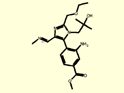 CCOCc1nc(/C=N/C)c(-c2ccc(C(=O)OC)cc2N)n1CC(C)(C)O